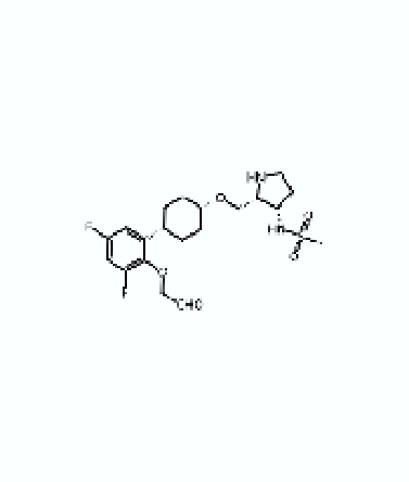 CS(=O)(=O)N[C@H]1CCN[C@H]1CO[C@H]1CC[C@@H](c2cc(F)cc(F)c2OCC=O)CC1